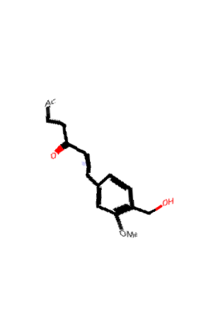 COc1cc(/C=C/C(=O)CCC(C)=O)ccc1CO